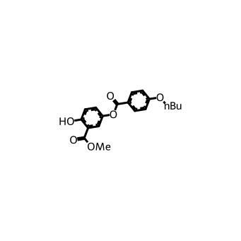 CCCCOc1ccc(C(=O)Oc2ccc(O)c(C(=O)OC)c2)cc1